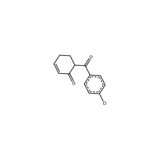 O=C1C=CCCC1C(=O)c1ccc(Cl)cc1